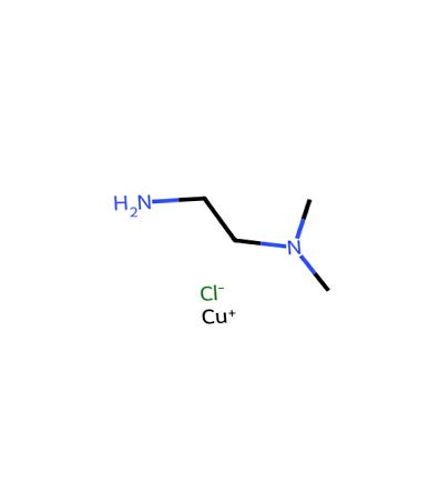 CN(C)CCN.[Cl-].[Cu+]